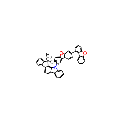 CC1(C)c2ccccc2-c2ccc3c4ccccc4n(-c4ccc5oc6cc(-c7cccc8oc9ccccc9c78)ccc6c5c4)c3c21